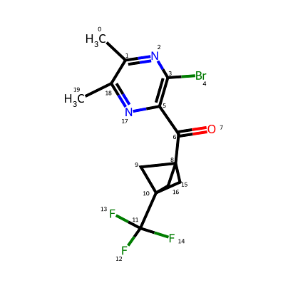 Cc1nc(Br)c(C(=O)C23CC(C(F)(F)F)(C2)C3)nc1C